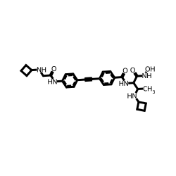 CC(NC1CCC1)C(NC(=O)c1ccc(C#Cc2ccc(NC(=O)CNC3CCC3)cc2)cc1)C(=O)NO